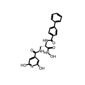 O=C(NC[C@H](NC(=O)c1ccc(-c2ccccc2)cc1)C(=O)NO)c1cc(O)nc(O)c1